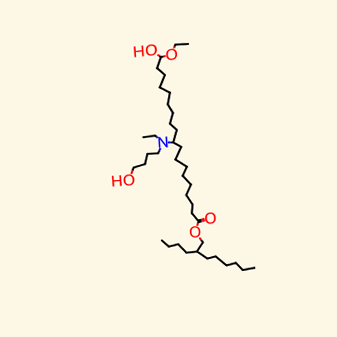 CCCCCCC(CCCC)COC(=O)CCCCCCCCC(CCCCCCCCC(O)OCC)N(CC)CCCCO